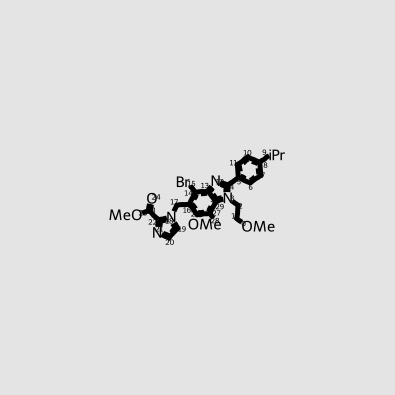 COCCn1c(-c2ccc(C(C)C)cc2)nc2c(Br)c(Cn3ccnc3C(=O)OC)cc(OC)c21